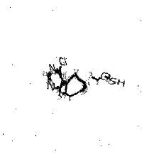 SOCC[C@@H]1CCc2sc3ncnc(Cl)c3c2C1